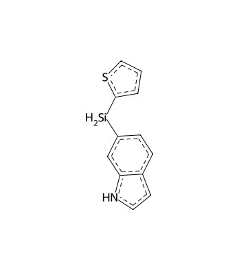 c1csc([SiH2]c2ccc3cc[nH]c3c2)c1